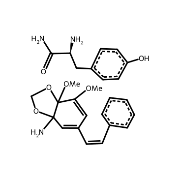 COC1=CC(/C=C\c2ccccc2)=CC2(N)OCOC12OC.NC(=O)[C@@H](N)Cc1ccc(O)cc1